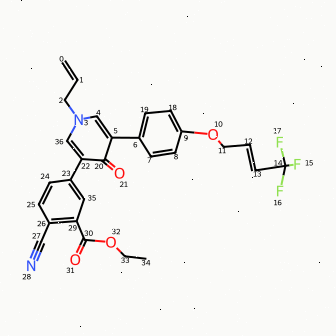 C=CCn1cc(-c2ccc(OCC=CC(F)(F)F)cc2)c(=O)c(-c2ccc(C#N)c(C(=O)OCC)c2)c1